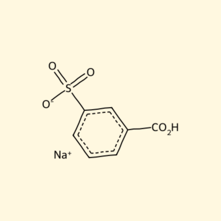 O=C(O)c1cccc(S(=O)(=O)[O-])c1.[Na+]